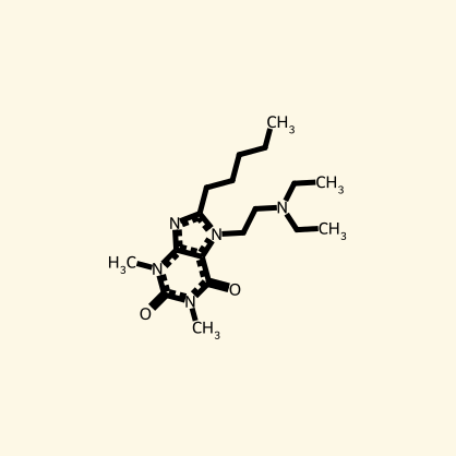 CCCCCc1nc2c(c(=O)n(C)c(=O)n2C)n1CCN(CC)CC